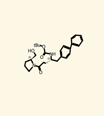 CC(C)(C)OC(=O)N[C@@H](CCC(=O)N1CCC[C@H]1CO)Cc1ccc(-c2ccccc2)cc1